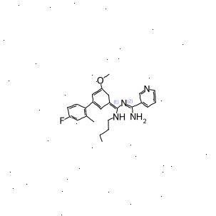 CCCCNC(/N=C(\N)c1cccnc1)=C1\C=C(c2ccc(F)cc2C)C=C(OC)C1